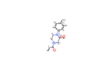 C=CC(=O)N1CCN(c2ccc(C)cc2)C(=O)C1